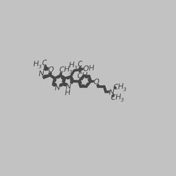 Cc1ncc(-c2cnc3[nH]c(-c4ccc(OCCCN(C)C)cc4)c(CC(C)(C)O)c3c2C)o1